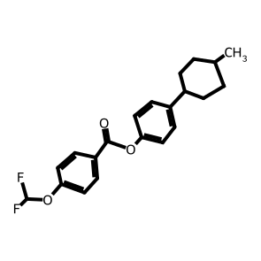 CC1CCC(c2ccc(OC(=O)c3ccc(OC(F)F)cc3)cc2)CC1